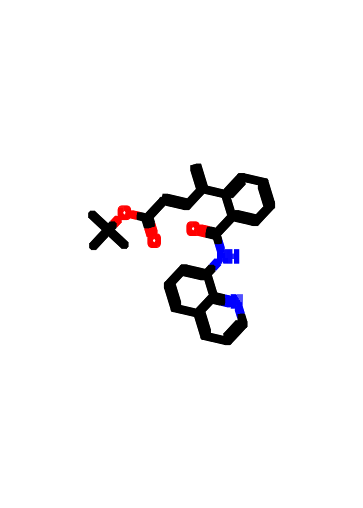 C=C(/C=C/C(=O)OC(C)(C)C)c1ccccc1C(=O)Nc1cccc2cccnc12